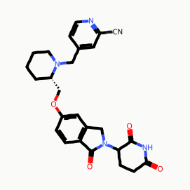 N#Cc1cc(CN2CCCC[C@H]2COc2ccc3c(c2)CN(C2CCC(=O)NC2=O)C3=O)ccn1